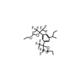 CCOCOC(c1cc(C(C)CC)cc(C(OC(=O)CC)(C(F)(F)F)C(F)(F)F)c1)(C(F)(F)F)C(F)(F)F